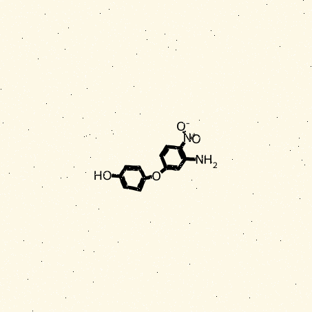 Nc1cc(Oc2ccc(O)cc2)ccc1[N+](=O)[O-]